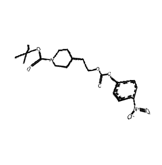 CC(C)(C)OC(=O)N1CCC(CCOC(=O)Oc2ccc([N+](=O)[O-])cc2)CC1